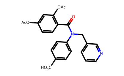 CC(=O)Oc1ccc(C(=O)N(Cc2cccnc2)c2ccc(C(=O)O)cc2)c(OC(C)=O)c1